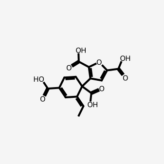 CC=C1C=C(C(=O)O)C=CC1(C(=O)O)c1cc(C(=O)O)oc1C(=O)O